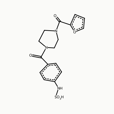 O=C(c1ccc(NS(=O)(=O)O)cc1)N1CCN(C(=O)c2ccco2)CC1